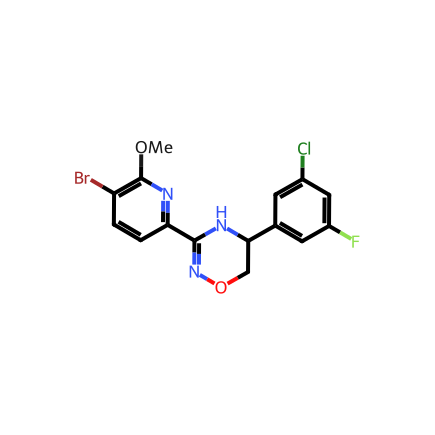 COc1nc(C2=NOCC(c3cc(F)cc(Cl)c3)N2)ccc1Br